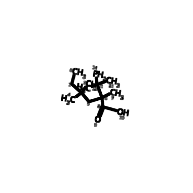 CCC(C)(C)CC(C)(C(=O)O)C(C)(C)P